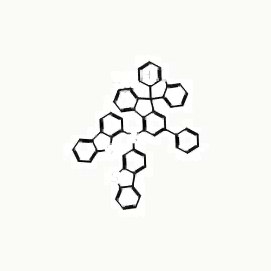 Cc1ccccc1C1(C2C=CC=CC2C)c2ccccc2-c2c(N(c3ccc4c(c3)sc3ccccc34)c3cccc4c3sc3ccccc34)cc(-c3ccccc3)cc21